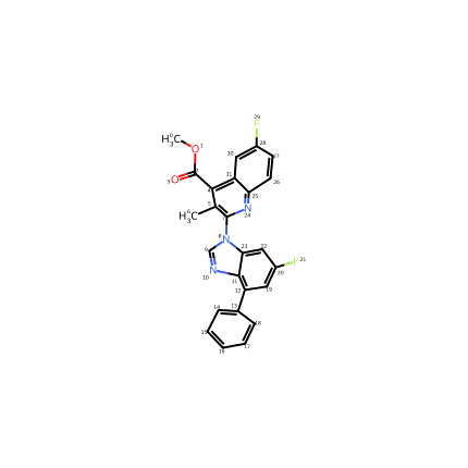 COC(=O)c1c(C)c(-n2cnc3c(-c4ccccc4)cc(F)cc32)nc2ccc(F)cc12